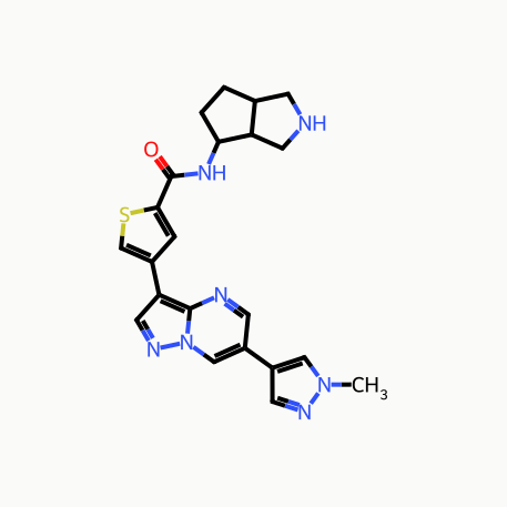 Cn1cc(-c2cnc3c(-c4csc(C(=O)NC5CCC6CNCC65)c4)cnn3c2)cn1